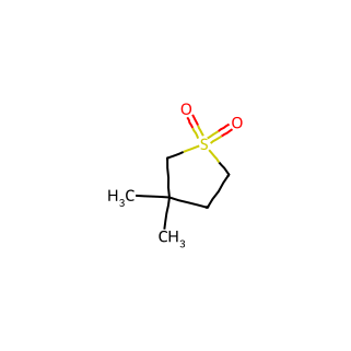 CC1(C)CCS(=O)(=O)C1